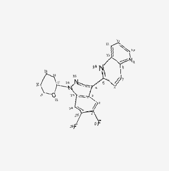 Fc1cc2c(-c3ccc4ncccc4n3)nn(C3CCCCO3)c2cc1F